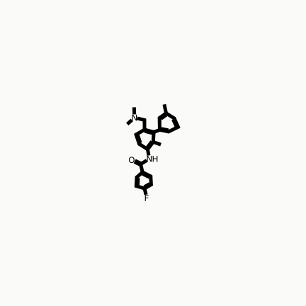 Cc1cccc(-c2c(CN(C)C)ccc(NC(=O)c3ccc(F)cc3)c2C)c1